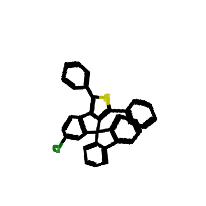 Clc1ccc2c(c1)C1(c3ccccc3-c3ccccc31)c1c(-c3ccccc3)sc(-c3ccccc3)c1-2